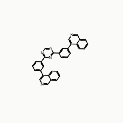 c1cc(-c2ncnc(-c3cccc(-c4cncc5ccccc45)c3)n2)cc(-c2cncc3ccccc23)c1